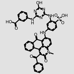 Cn1c(=O)c(C(=O)c2ccccc2)c2c3c(c(Nc4ccc(S(=O)(=O)O)c(Nc5nc(O)nc(Nc6cccc(C(=O)O)c6)n5)c4)ccc31)C(=O)c1ccccc1-2